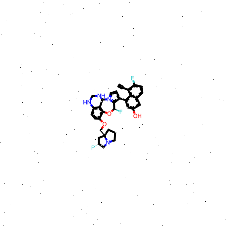 C#Cc1c(F)ccc2cc(O)cc(-c3ccn4c3[C@@H](F)Oc3c(OC[C@@]56CCCN5C[C@H](F)C6)ccc5c3C4NCN5)c12